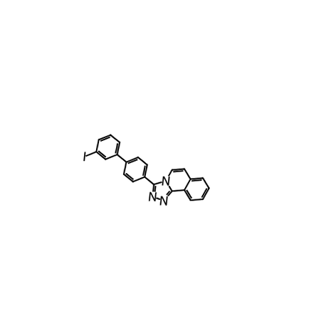 Ic1cccc(-c2ccc(-c3nnc4c5ccccc5ccn34)cc2)c1